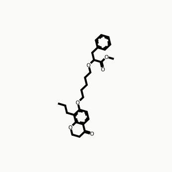 CCCc1c(OCCCCCOC(Cc2ccccc2)C(=O)OC)ccc2c1OCCC2=O